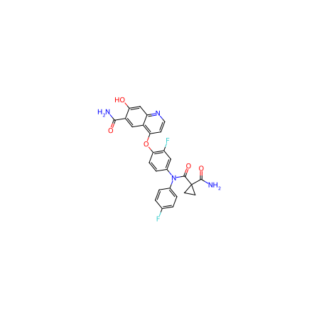 NC(=O)c1cc2c(Oc3ccc(N(C(=O)C4(C(N)=O)CC4)c4ccc(F)cc4)cc3F)ccnc2cc1O